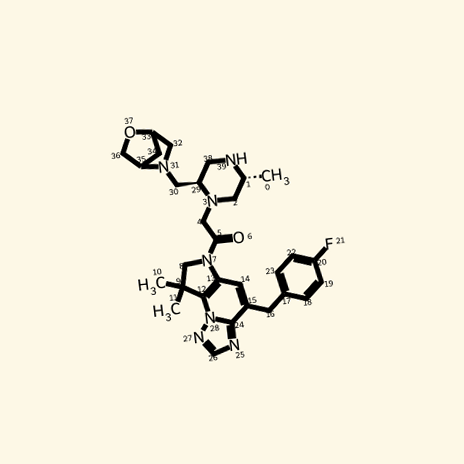 C[C@@H]1CN(CC(=O)N2CC(C)(C)c3c2cc(Cc2ccc(F)cc2)c2ncnn32)[C@@H](CN2CC3CC2CO3)CN1